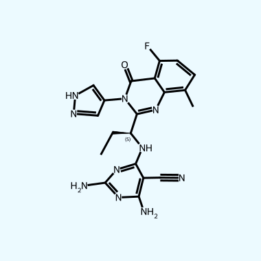 CC[C@H](Nc1nc(N)nc(N)c1C#N)c1nc2c(C)ccc(F)c2c(=O)n1-c1cn[nH]c1